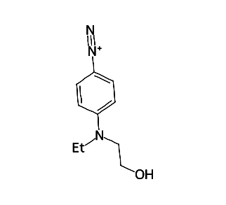 CCN(CCO)c1ccc([N+]#N)cc1